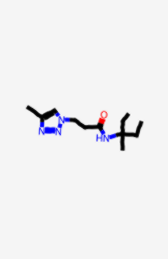 CCC(C)(CC)NC(=O)CCn1cc(C)nn1